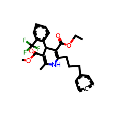 CCOC(=O)C1=C(CCCc2ccccc2)NC(C)=C(C(=O)OC)C1c1ccccc1C(F)(F)F